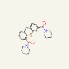 O=C(c1ccc2c(c1)Sc1c(cccc1C(=O)N1CCCCC1)C2)N1CCCCC1